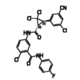 N#Cc1cc(Cl)cc([C@H]2[C@H](C(=O)Nc3ccc(Cl)c(C(=O)Nc4ccc(F)cc4)c3)C2(Cl)Cl)c1